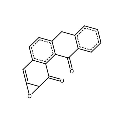 O=C1c2ccccc2Cc2ccc3c(c21)C(=O)C1OC1=C3